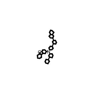 c1ccc(-c2cccc(N(c3ccc(-c4cccc(-c5ccc6ccccc6c5)c4)cc3)c3ccc4oc5ccccc5c4c3)c2)cc1